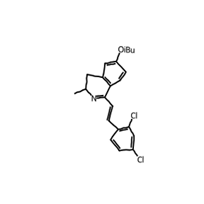 CC(C)COc1ccc2c(c1)CC(C)N=C2C=Cc1ccc(Cl)cc1Cl